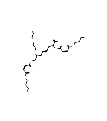 CCCCOC(=O)/C=C\C(=O)OCC(CC=CCC(OC(=O)/C=C\C(=O)OCCCC)C(=O)O)OCCOCCO